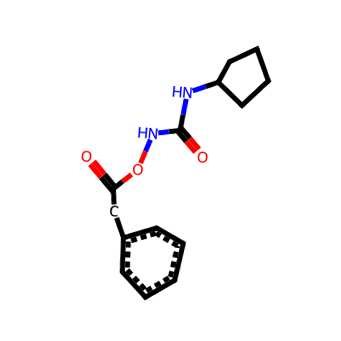 O=C(NOC(=O)Cc1ccccc1)NC1CCCC1